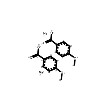 COc1ccc(C(=O)[O-])cc1.COc1ccc(C(=O)[O-])cc1.[Na+].[Na+]